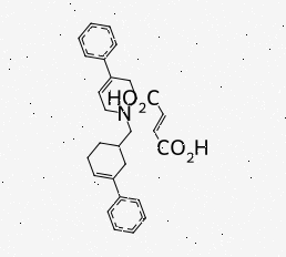 C1=C(c2ccccc2)CCN(CC2CCC=C(c3ccccc3)C2)C1.O=C(O)C=CC(=O)O